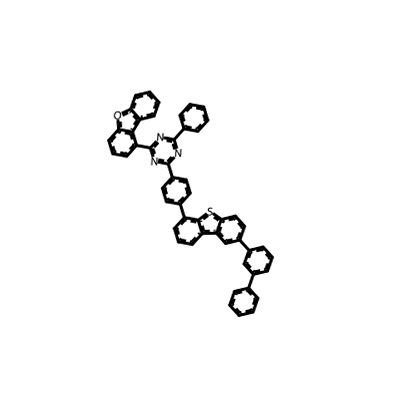 c1ccc(-c2cccc(-c3ccc4sc5c(-c6ccc(-c7nc(-c8ccccc8)nc(-c8cccc9oc%10ccccc%10c89)n7)cc6)cccc5c4c3)c2)cc1